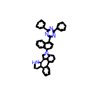 C1=CNC2C(=C1)c1ccccc1-c1cccc3c1c2cn3-c1ccc(-c2nc(-c3ccccc3)nc(-c3ccccc3)n2)c2ccccc12